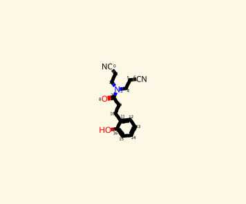 N#CCCN(CCC#N)C(=O)CCc1ccccc1O